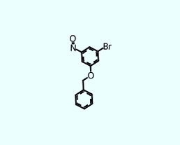 O=Nc1cc(Br)cc(OCc2ccccc2)c1